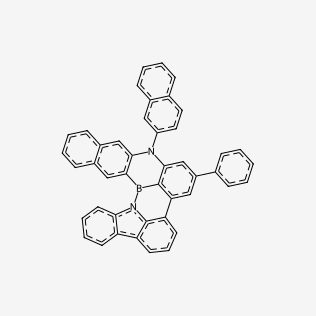 c1ccc(-c2cc3c4c(c2)N(c2ccc5ccccc5c2)c2cc5ccccc5cc2B4n2c4ccccc4c4cccc-3c42)cc1